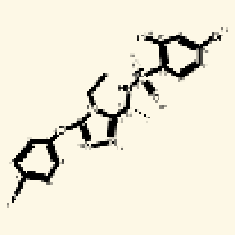 CCn1c(Oc2ccc(F)cc2)nnc1[C@@H](C)NS(=O)(=O)c1ccc(Br)cc1Cl